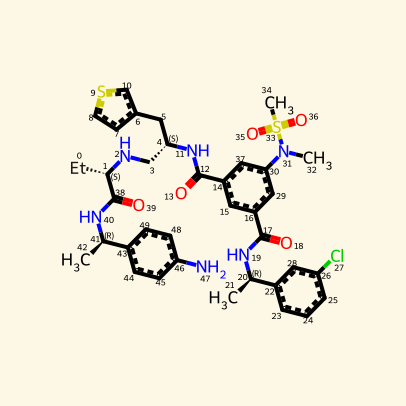 CC[C@H](NC[C@H](Cc1ccsc1)NC(=O)c1cc(C(=O)N[C@H](C)c2cccc(Cl)c2)cc(N(C)S(C)(=O)=O)c1)C(=O)N[C@H](C)c1ccc(N)cc1